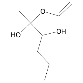 C=COC(C)(O)C(O)CCC